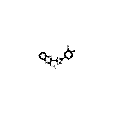 Cc1ccc(-c2nnc(-c3nc4ccccc4nc3N)o2)cc1F